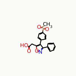 CS(=O)(=O)c1ccc(-c2c(-c3ccccc3)noc2CC(=O)O)cc1